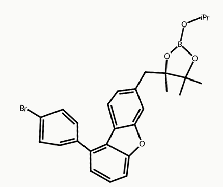 CC(C)OB1OC(C)(C)C(C)(Cc2ccc3c(c2)oc2cccc(-c4ccc(Br)cc4)c23)O1